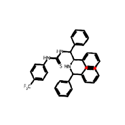 FC(F)(F)c1ccc(NC(=S)NC(c2ccccc2)[C@H](NC(c2ccccc2)c2ccccc2)c2ccccc2)cc1